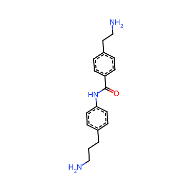 NCCCc1ccc(NC(=O)c2ccc(CCN)cc2)cc1